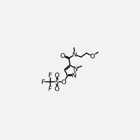 COCCN(C)C(=O)c1cc(OS(=O)(=O)C(F)(F)F)nn1C